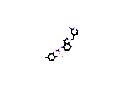 COc1ccc(Br)cc1NC(=O)Nc1c(F)ccc2c1ccn2Cc1ccnc(N)c1